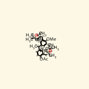 COc1ccc(C(C)c2ccc(OC(C)=O)c(C[Si](C)(C)O[Si](C)(C)C)c2)cc1C[Si](C)(C)O[Si](C)(C)C